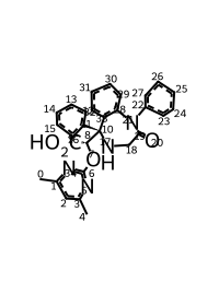 Cc1cc(C)nc(O[C@H](C(=O)O)[C@@]2(c3ccccc3)NCC(=O)N(c3ccccc3)c3ccccc32)n1